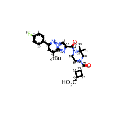 CC(C)(C)c1cc(-c2ccc(F)cc2)nn2cc(C(=O)N3CCN(C(=O)[C@H]4C[C@@H](C(=O)O)C4)CC3(C)C)nc12